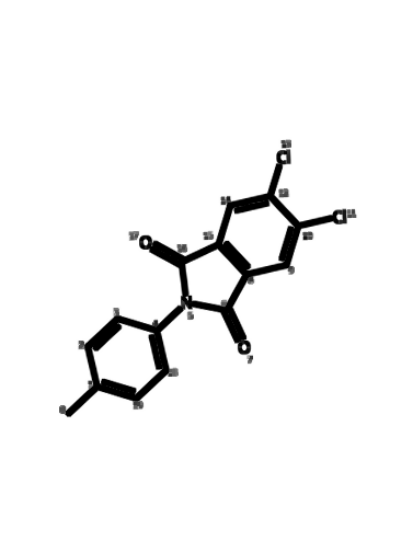 Cc1ccc(N2C(=O)c3cc(Cl)c(Cl)cc3C2=O)cc1